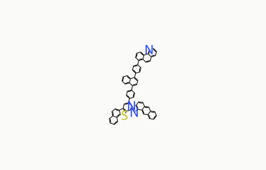 c1ccc2cc3c(ccc4c3nc3c5sc6c7ccccc7ccc6c5cc(-c5ccc(-c6ccc(-c7ccc(-c8cccc9c8ccc8cccnc89)cc7)c7ccccc67)cc5)n43)cc2c1